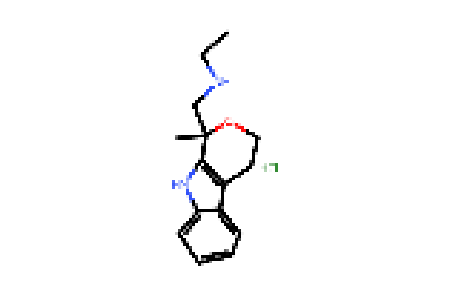 CCNCC1(C)OCCc2c1[nH]c1ccccc21.Cl